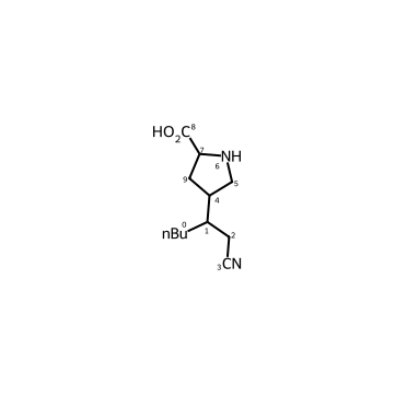 CCCCC(CC#N)C1CNC(C(=O)O)C1